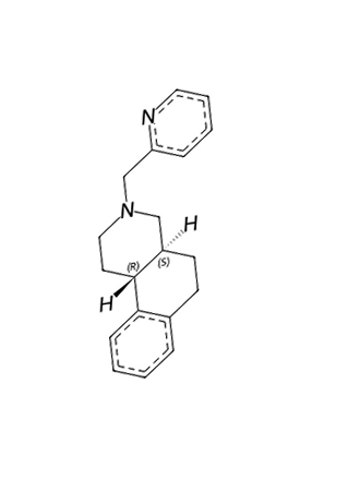 c1ccc(CN2CC[C@H]3c4ccccc4CC[C@@H]3C2)nc1